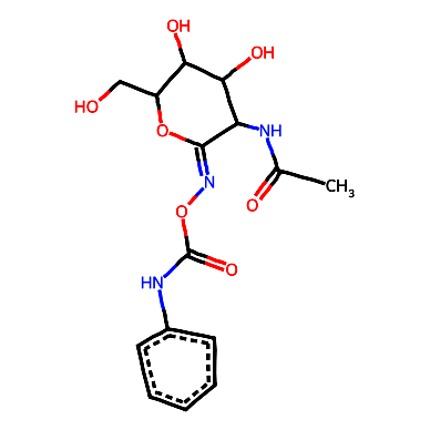 CC(=O)NC1C(=NOC(=O)Nc2ccccc2)OC(CO)C(O)C1O